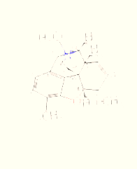 Cc1ccc2c3c1O[C@H]1[C@@H](C)C=C[C@H]4[C@@H](C2)N(C)CC[C@@]341